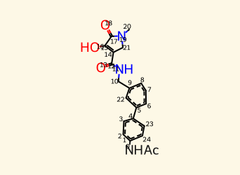 CC(=O)Nc1ccc(-c2cccc(CNC(=O)C3=C(O)C(=O)N(C)C3)c2)cc1